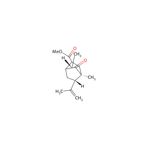 C=C(C)[C@@H]1CC2C(C(=O)OC)C[C@]1(C)C(=O)[C@H]2C